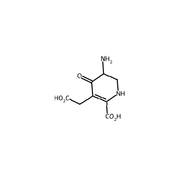 NC1CNC(C(=O)O)=C(CC(=O)O)C1=O